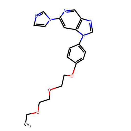 CCOCCOCCOc1ccc(-n2cnc3cnc(-n4ccnc4)cc32)cc1